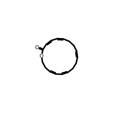 O=C1C=CC=CCCC=CCCC=CC=CCCO1